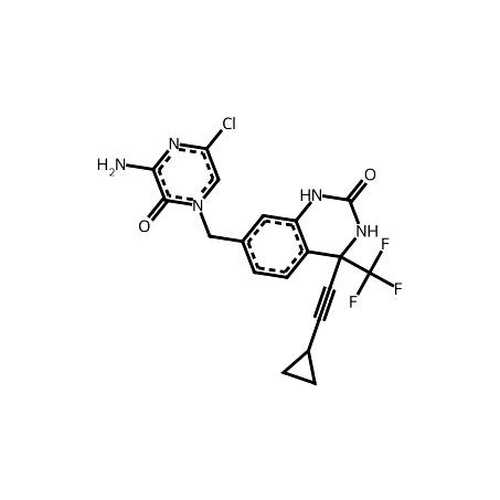 Nc1nc(Cl)cn(Cc2ccc3c(c2)NC(=O)NC3(C#CC2CC2)C(F)(F)F)c1=O